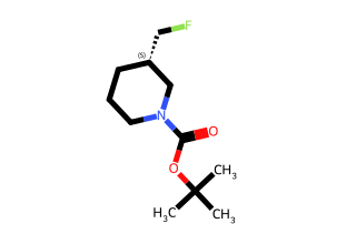 CC(C)(C)OC(=O)N1CCC[C@H](CF)C1